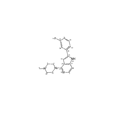 CN1CCN(c2nccc3[nH]c(-c4cccc(F)c4)cc23)CC1